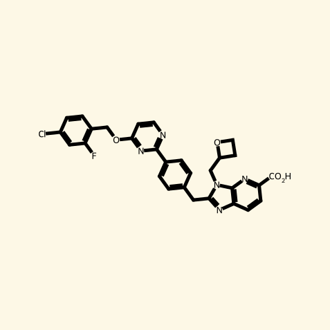 O=C(O)c1ccc2nc(Cc3ccc(-c4nccc(OCc5ccc(Cl)cc5F)n4)cc3)n(CC3CCO3)c2n1